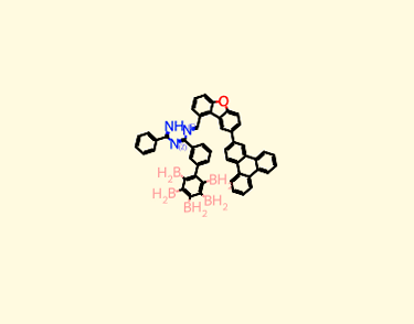 Bc1c(B)c(B)c(-c2cccc(C(=N/C(=N)c3ccccc3)/N=C/c3cccc4oc5ccc(-c6ccc7c8ccccc8c8ccccc8c7c6)cc5c34)c2)c(B)c1B